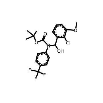 COc1cccc(C(O)N(C(=O)OC(C)(C)C)c2ccc(C(F)(F)F)cc2)c1Cl